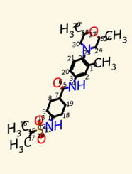 Cc1cc(NC(=O)C2CCC(NS(=O)(=O)C(C)C)CC2)ccc1N1C[C@@H](C)O[C@@H](C)C1